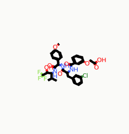 COc1ccc(C(NC(=O)C(Cc2cccc(Cl)c2)NC(=O)c2cccc(OCC(=O)O)c2)C(=O)NC(C(C)C)C(O)C(F)(F)F)cc1